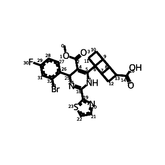 COC(=O)C1=C(C23C4C5C2C2C3C4C52C(=O)O)NC(c2nccs2)=NC1c1ccc(F)cc1Br